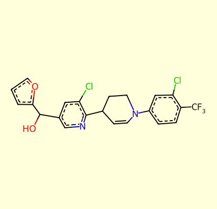 OC(c1cnc(C2C=CN(c3ccc(C(F)(F)F)c(Cl)c3)CC2)c(Cl)c1)c1ccco1